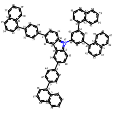 c1ccc2c(-c3ccc(-c4ccc5c(c4)c4cc(-c6ccc(-c7cccc8ccccc78)cc6)ccc4n5-c4cc(-c5cccc6ccccc56)cc(-c5cccc6ccccc56)c4)cc3)cccc2c1